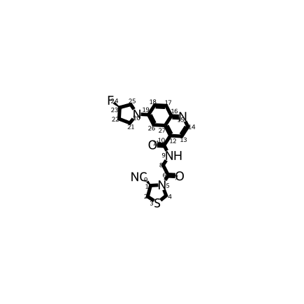 N#C[C@@H]1CSCN1C(=O)CNC(=O)c1ccnc2ccc(N3CC[C@@H](F)C3)cc12